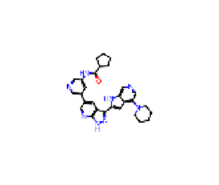 O=C(Nc1cncc(-c2cnc3[nH]nc(-c4cc5c(N6CCCCC6)cncc5[nH]4)c3c2)c1)C1CCCC1